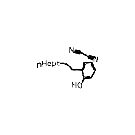 CCCCCCCCCc1ccccc1O.N#CC#N